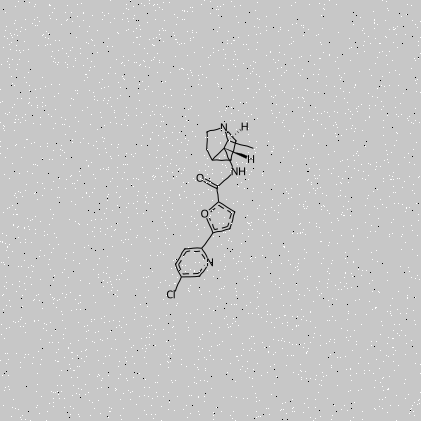 C[C@H]1[C@H](NC(=O)c2ccc(-c3ccc(Cl)cn3)o2)C2CCN1CC2